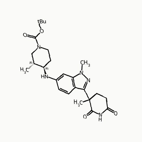 C[C@@H]1CN(C(=O)OC(C)(C)C)CC[C@H]1Nc1ccc2c(C3(C)CCC(=O)NC3=O)nn(C)c2c1